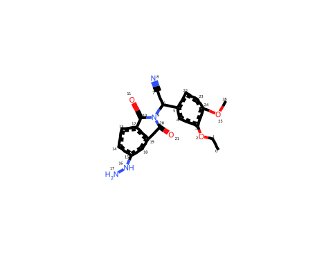 CCOc1cc(C(C#N)N2C(=O)c3ccc(NN)cc3C2=O)ccc1OC